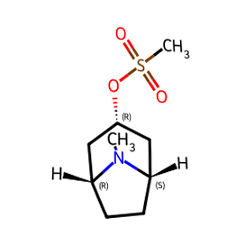 CN1[C@@H]2CC[C@H]1C[C@@H](OS(C)(=O)=O)C2